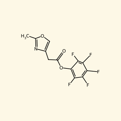 Cc1nc(CC(=O)Oc2c(F)c(F)c(F)c(F)c2F)co1